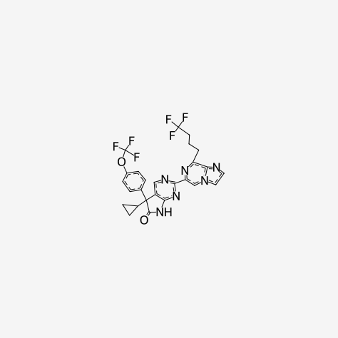 O=C1Nc2nc(-c3cn4ccnc4c(CCCC(F)(F)F)n3)ncc2C1(c1ccc(OC(F)(F)F)cc1)C1CC1